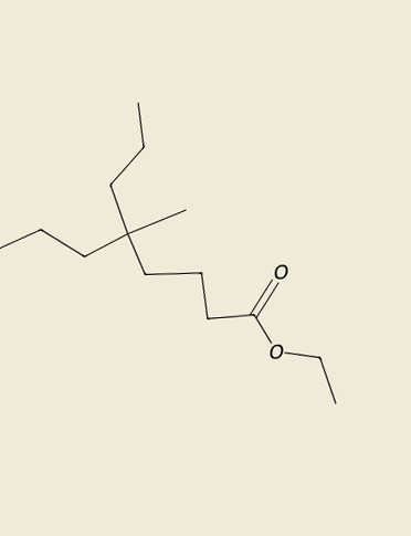 CCCC(C)(CCC)CCCC(=O)OCC